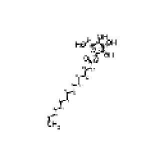 CCCCCCCCCCCCCCCC(=O)OC1O[C@H](CO)[C@H](O)[C@H](O)[C@H]1O